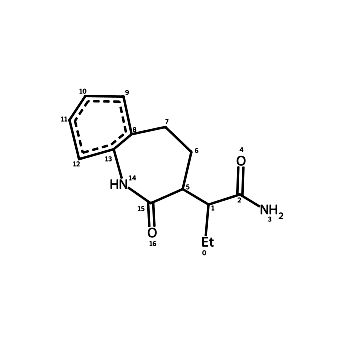 CCC(C(N)=O)C1CCc2ccccc2NC1=O